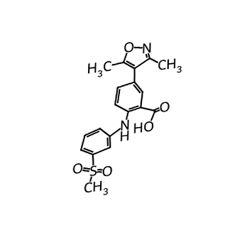 Cc1noc(C)c1-c1ccc(Nc2cccc(S(C)(=O)=O)c2)c(C(=O)O)c1